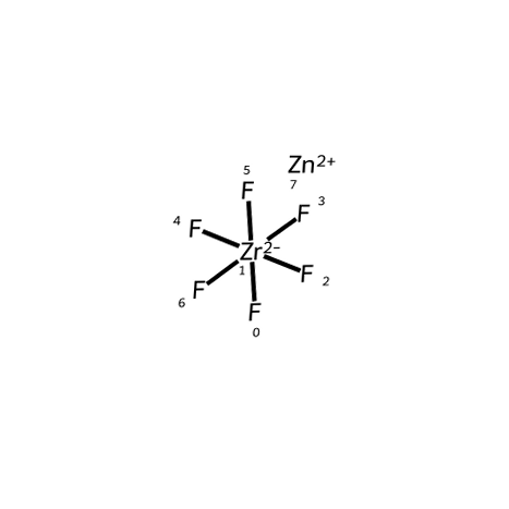 [F][Zr-2]([F])([F])([F])([F])[F].[Zn+2]